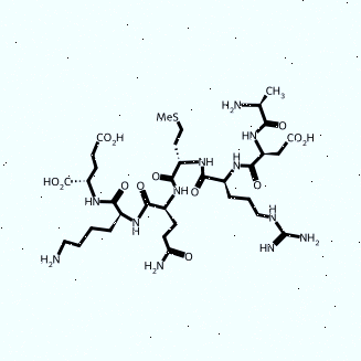 CSCC[C@H](NC(=O)[C@H](CCCNC(=N)N)NC(=O)[C@H](CC(=O)O)NC(=O)[C@H](C)N)C(=O)N[C@@H](CCC(N)=O)C(=O)N[C@@H](CCCCN)C(=O)N[C@@H](CCC(=O)O)C(=O)O